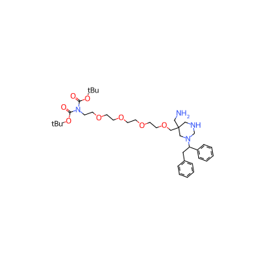 CC(C)(C)OC(=O)N(CCOCCOCCOCCOCC1(CN)CNCN(C(Cc2ccccc2)c2ccccc2)C1)C(=O)OC(C)(C)C